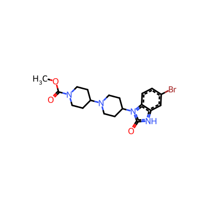 COC(=O)N1CCC(N2CCC(n3c(=O)[nH]c4cc(Br)ccc43)CC2)CC1